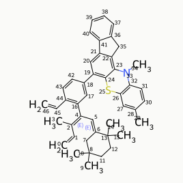 C=C/C(C)=C(\C=C1/CC(C)(C)CCC1(C)C)c1cc(-c2cc3c(c4c2Sc2cc(C)ccc2N4C)Cc2ccccc2-3)ccc1C=C